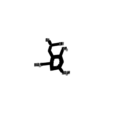 CCN(O)Cc1c(C)cc(S(=O)(=O)O)cc1S(=O)(=O)O